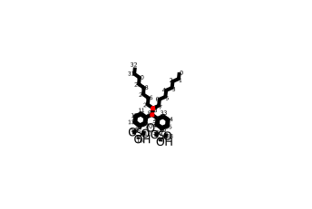 CCCCCCCCCCc1cccc(S(=O)(=O)O)c1Oc1c(CCCCCCCCCC)cccc1S(=O)(=O)O